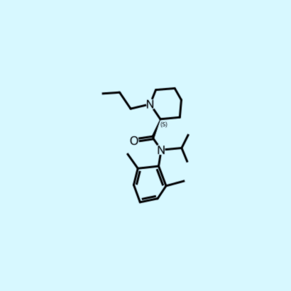 CCCN1CCCC[C@H]1C(=O)N(c1c(C)cccc1C)C(C)C